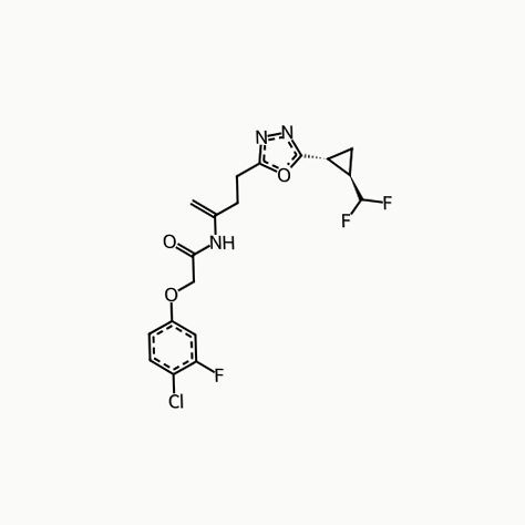 C=C(CCc1nnc([C@@H]2C[C@H]2C(F)F)o1)NC(=O)COc1ccc(Cl)c(F)c1